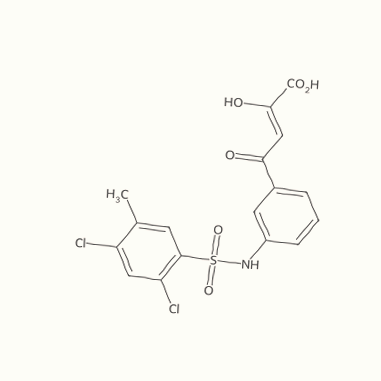 Cc1cc(S(=O)(=O)Nc2cccc(C(=O)C=C(O)C(=O)O)c2)c(Cl)cc1Cl